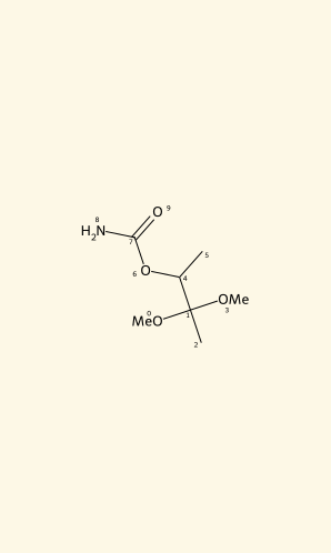 COC(C)(OC)C(C)OC(N)=O